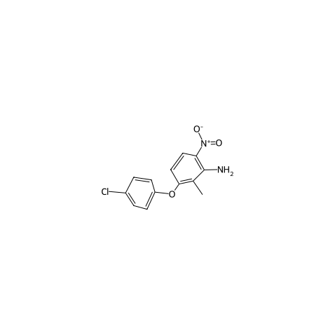 Cc1c(Oc2ccc(Cl)cc2)ccc([N+](=O)[O-])c1N